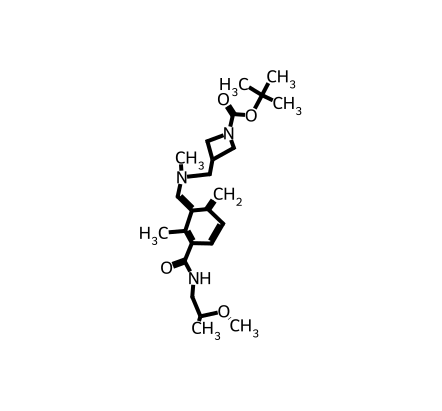 C=c1ccc(C(=O)NCC(C)OC)c(C)/c1=C/N(C)CC1CN(C(=O)OC(C)(C)C)C1